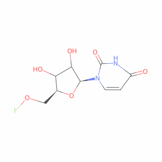 O=c1ccn([C@H]2O[C@@H](COF)C(O)C2O)c(=O)[nH]1